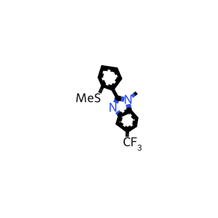 CSc1ccccc1-c1nc2cc(C(F)(F)F)ccc2n1C